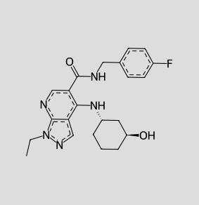 CCn1ncc2c(N[C@H]3CCC[C@H](O)C3)c(C(=O)NCc3ccc(F)cc3)cnc21